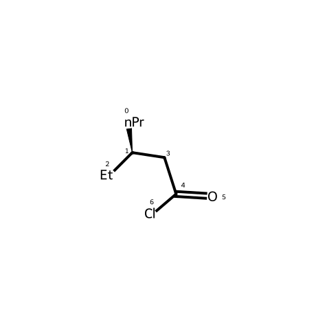 CCC[C@H](CC)CC(=O)Cl